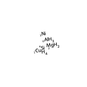 [AlH3].[Cu].[MgH2].[Ni].[SiH4]